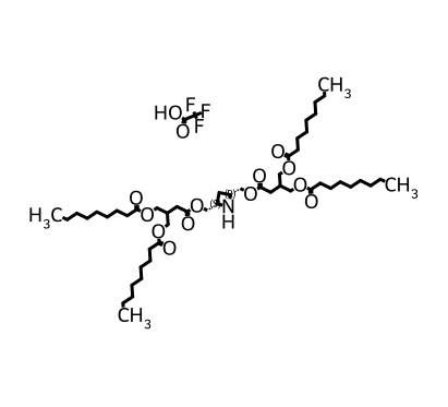 CCCCCCCCC(=O)OCC(COC(=O)CCCCCCCC)CC(=O)OC[C@@H]1C[C@H](COC(=O)CC(COC(=O)CCCCCCCC)COC(=O)CCCCCCCC)N1.O=C(O)C(F)(F)F